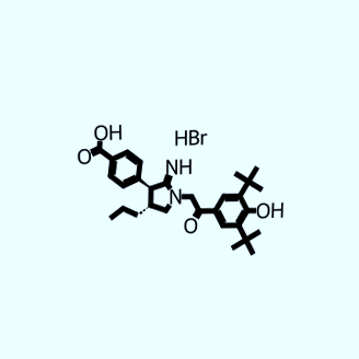 Br.CCC[C@H]1CN(CC(=O)c2cc(C(C)(C)C)c(O)c(C(C)(C)C)c2)C(=N)[C@@H]1c1ccc(C(=O)O)cc1